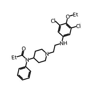 CCOc1c(Cl)cc(NCCN2CCC(N(C(=O)CC)c3ccccc3)CC2)cc1Cl